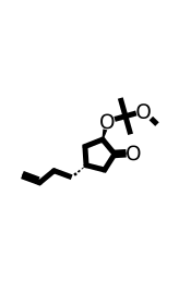 C=CCC[C@H]1CC(=O)[C@H](OC(C)(C)OC)C1